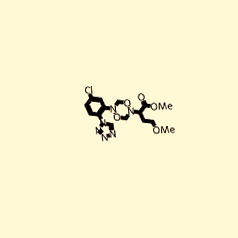 COCCC(C(=O)OC)N1CON(c2cc(Cl)ccc2-n2cnnn2)CO1